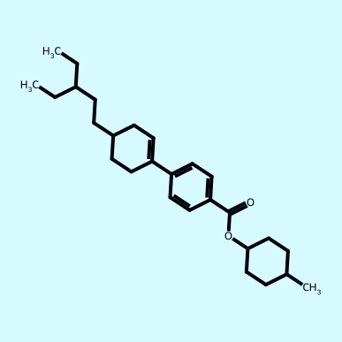 CCC(CC)CCC1CC=C(c2ccc(C(=O)OC3CCC(C)CC3)cc2)CC1